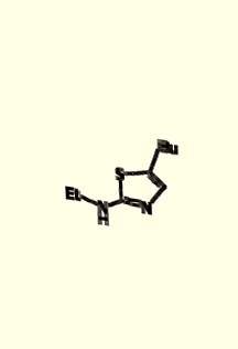 CCNc1ncc(C(C)CC)s1